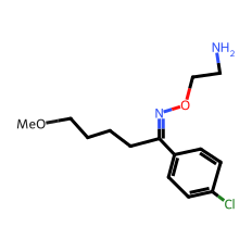 COCCCC/C(=N/OCCN)c1ccc(Cl)cc1